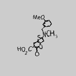 COc1cccc(CN(C)c2cc3oc(=O)c(C(=O)O)cc3s2)c1